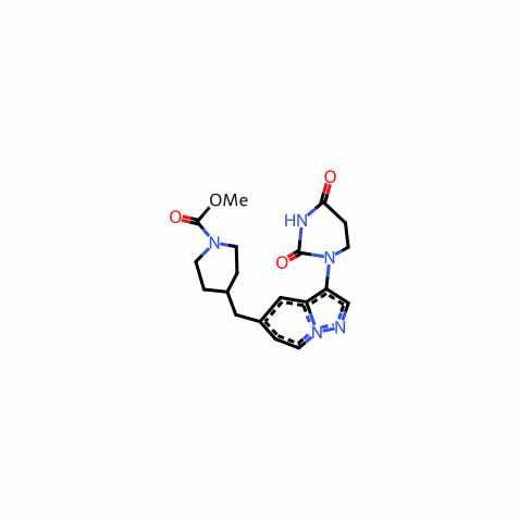 COC(=O)N1CCC(Cc2ccn3ncc(N4CCC(=O)NC4=O)c3c2)CC1